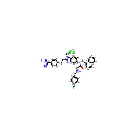 Cl.Cl.Cn1c(CCc2ccc(C(=N)N)cc2)nc2cc(N(Cc3cccc4ccccc34)C(=O)CNCc3ccc(F)cc3)ccc21